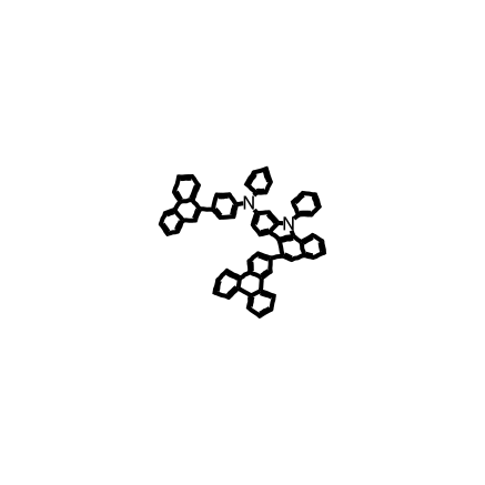 c1ccc(N(c2ccc(-c3cc4ccccc4c4ccccc34)cc2)c2ccc3c4c(-c5ccc6c7ccccc7c7ccccc7c6c5)cc5ccccc5c4n(-c4ccccc4)c3c2)cc1